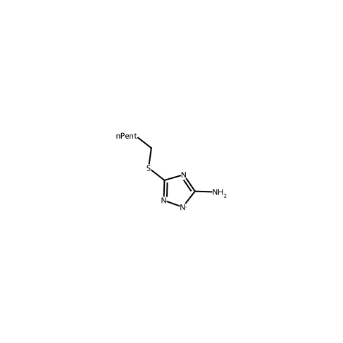 CCCCCCSC1=N[N]C(N)=N1